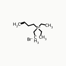 C=CCC[P+](CC)(CC)CC.[Br-]